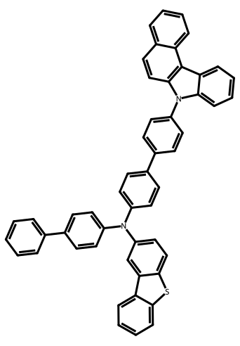 c1ccc(-c2ccc(N(c3ccc(-c4ccc(-n5c6ccccc6c6c7ccccc7ccc65)cc4)cc3)c3ccc4sc5ccccc5c4c3)cc2)cc1